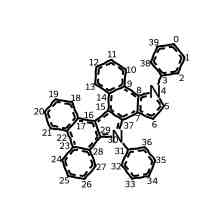 c1ccc(-n2ccc3c2c2ccccc2c2c4c5ccccc5c5ccccc5c4n(-c4ccccc4)c32)cc1